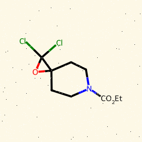 CCOC(=O)N1CCC2(CC1)OC2(Cl)Cl